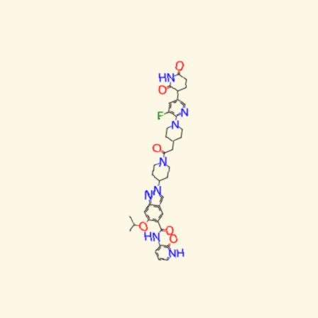 CC(C)Oc1cc2nn(C3CCN(C(=O)CC4CCN(c5ncc(C6CCC(=O)NC6=O)cc5F)CC4)CC3)cc2cc1C(=O)Nc1ccc[nH]c1=O